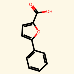 O=C(O)c1ccc(-c2c[c]ccc2)o1